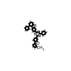 Cc1cccc2c1oc1cc(-c3nc(-c4ccccc4)nc(-c4ccc5c(c4)oc4cccc(-c6ccccc6)c45)n3)ccc12